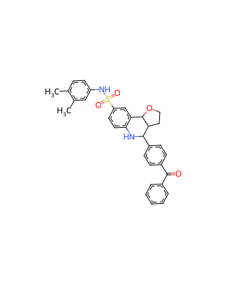 Cc1ccc(NS(=O)(=O)c2ccc3c(c2)C2OCCC2C(c2ccc(C(=O)c4ccccc4)cc2)N3)cc1C